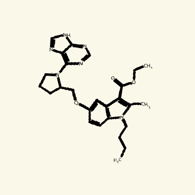 CCCCn1c(C)c(C(=O)OCC)c2cc(OCC3CCCN3c3ncnc4[nH]cnc34)ccc21